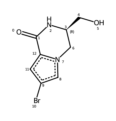 O=C1N[C@@H](CO)Cn2cc(Br)cc21